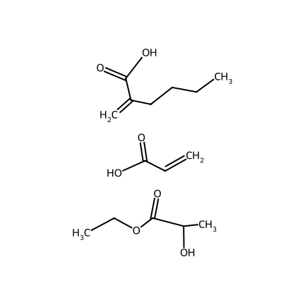 C=C(CCCC)C(=O)O.C=CC(=O)O.CCOC(=O)C(C)O